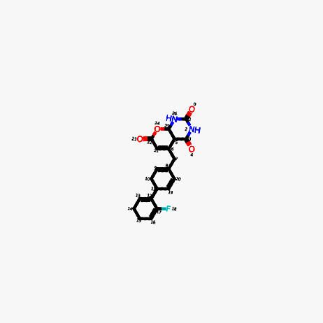 O=C1NC(=O)C2C(CC3=CCC(C4=CCCC=C4F)C=C3)=CC(=O)OC2N1